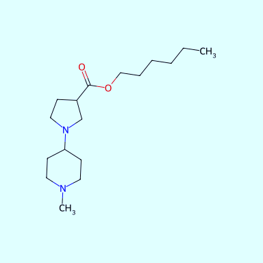 CCCCCCOC(=O)C1CCN(C2CCN(C)CC2)C1